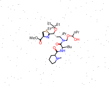 CCCC(O)OCN(C(=O)C(NC(=O)C1CCCCN1C)C(C)CC)[C@H](C[C@@H](O[Si](CC)(CC)CC)c1nc(C(=O)OC)cs1)C(C)C